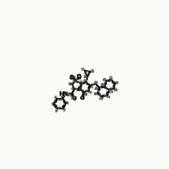 O=C(Nc1ccccc1)C1CS(=O)(=O)c2c(C3CC3)c(Cc3cccc4ccccc34)cc(=O)n21